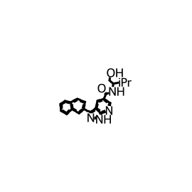 CC(C)C(CO)NC(=O)c1cnc2[nH]nc(-c3ccc4ccccc4c3)c2c1